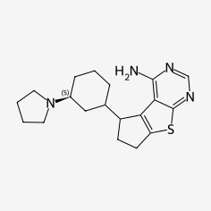 Nc1ncnc2sc3c(c12)C(C1CCC[C@H](N2CCCC2)C1)CC3